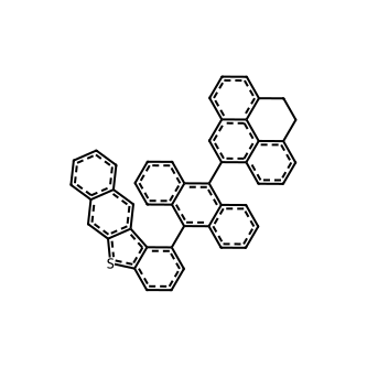 c1ccc2cc3c(cc2c1)sc1cccc(-c2c4ccccc4c(-c4cc5cccc6c5c5c(cccc45)CC6)c4ccccc24)c13